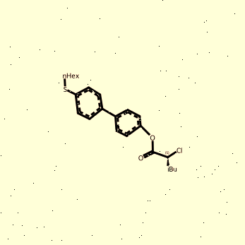 CCCCCCSc1ccc(-c2ccc(OC(=O)[C@@H](Cl)C(C)CC)cc2)cc1